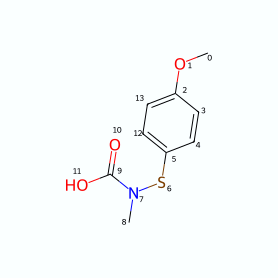 COc1ccc(SN(C)C(=O)O)cc1